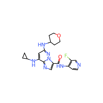 O=C(Nc1ccncc1F)c1cnc2c(NC3CC3)cc(NC3CCOCC3)nn12